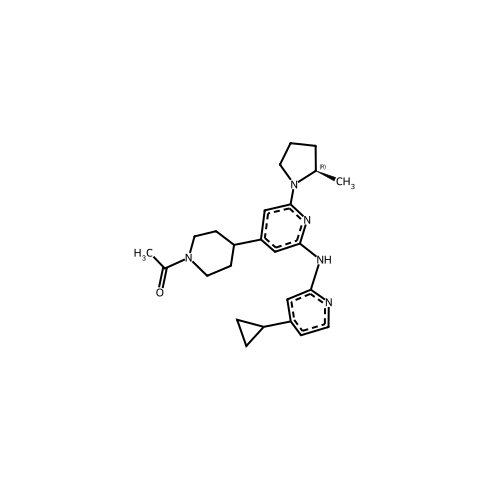 CC(=O)N1CCC(c2cc(Nc3cc(C4CC4)ccn3)nc(N3CCC[C@H]3C)c2)CC1